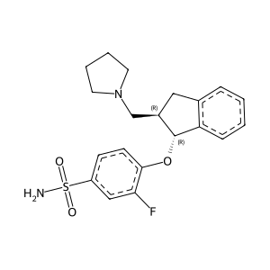 NS(=O)(=O)c1ccc(O[C@H]2c3ccccc3C[C@@H]2CN2CCCC2)c(F)c1